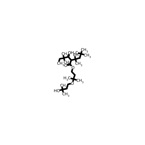 CCC(C)(C)C(=O)C(C(=O)OCCC(C)(C)OCCC(C)(C)O)C(C)(C)CC(C)(C)C